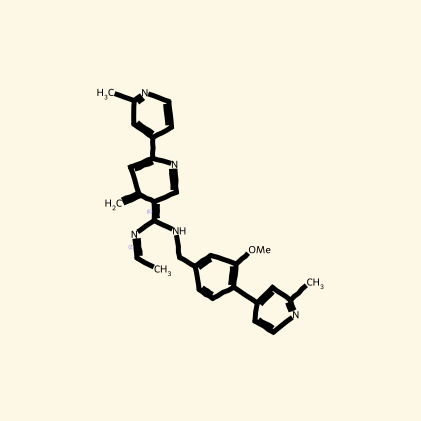 C=c1cc(-c2ccnc(C)c2)nc/c1=C(/N=C\C)NCc1ccc(-c2ccnc(C)c2)c(OC)c1